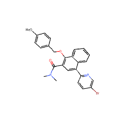 COc1ccc(COc2c(C(=O)N(C)C)cc(-c3ccc(Br)cn3)c3ccccc23)cc1